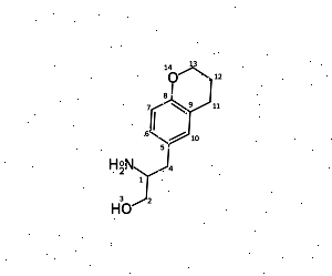 NC(CO)Cc1ccc2c(c1)CCCO2